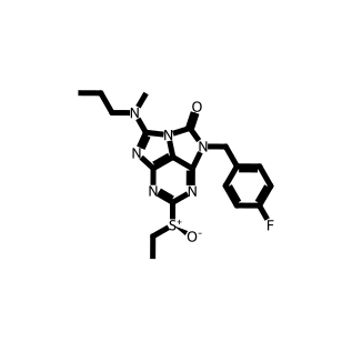 CCCN(C)c1nc2nc([S@@+]([O-])CC)nc3c2n1c(=O)n3Cc1ccc(F)cc1